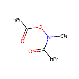 CCCC(=O)ON(C#N)C(=O)CCC